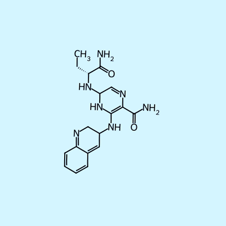 CC[C@@H](NC1C=NC(C(N)=O)=C(NC2C=c3ccccc3=NC2)N1)C(N)=O